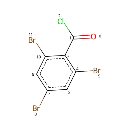 O=C(Cl)c1c(Br)cc(Br)cc1Br